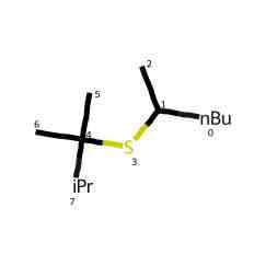 CCCCC(C)SC(C)(C)C(C)C